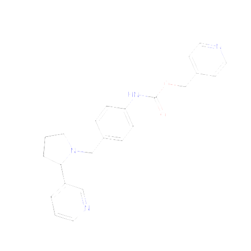 O=C(Nc1ccc(CN2CCCC2c2cccnc2)cc1)OCc1ccncc1